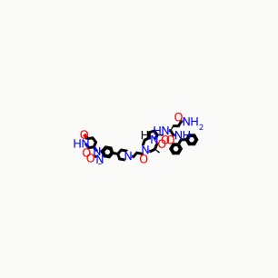 C[C@H]1CN(C(=O)CCN2CCC(c3ccc4c(c3)n(C)c(=O)n4C3CCC(=O)NC3=O)CC2)CC[C@H]2CC[C@@H](C(=O)N[C@@H](CCC(N)=O)C(=O)NC(c3ccccc3)c3ccccc3)N2C1=O